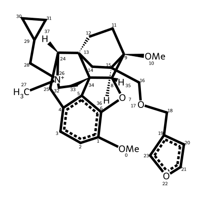 COc1ccc2c3c1O[C@H]1[C@@]4(OC)CC[C@@]5(C[C@@H]4COCc4ccoc4)[C@@H](C2)[N+](C)(CC2CC2)CC[C@]315